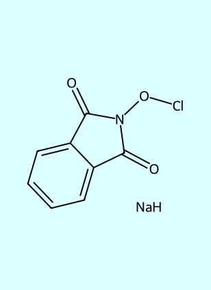 O=C1c2ccccc2C(=O)N1OCl.[NaH]